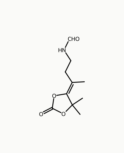 CC(CCNC=O)=C1OC(=O)OC1(C)C